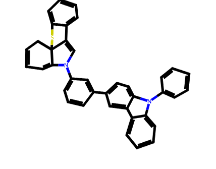 C1=CCC23Sc4ccccc4C2=CN(c2cccc(-c4ccc5c(c4)c4ccccc4n5-c4ccccc4)c2)C3=C1